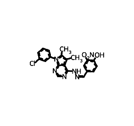 Cc1c(C)n(-c2cccc(Cl)c2)c2ncnc(N/N=C\c3ccc(O)c([N+](=O)[O-])c3)c12